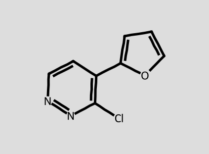 Clc1nnccc1-c1ccco1